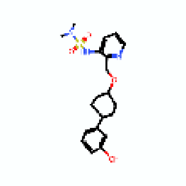 CN(C)S(=O)(=O)Nc1cccnc1COC1CCC(c2cccc(O)c2)CC1